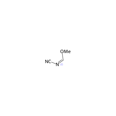 CO/C=N\C#N